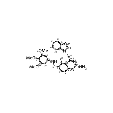 COc1cc(NCc2ccc3nc(N)nc(N)c3c2C)cc(OC)c1OC.c1ccc2[nH]cnc2c1